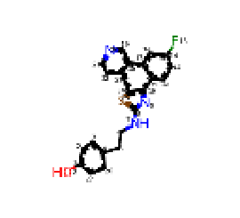 Oc1ccc(CCNc2nc3c4ccc(F)cc4c4cnccc4c3s2)cc1